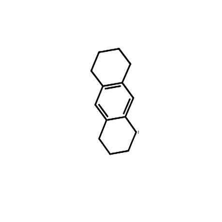 [C]1CCCc2cc3c(cc21)CCCC3